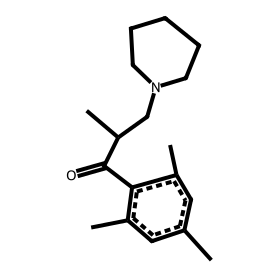 Cc1cc(C)c(C(=O)C(C)CN2CCCCC2)c(C)c1